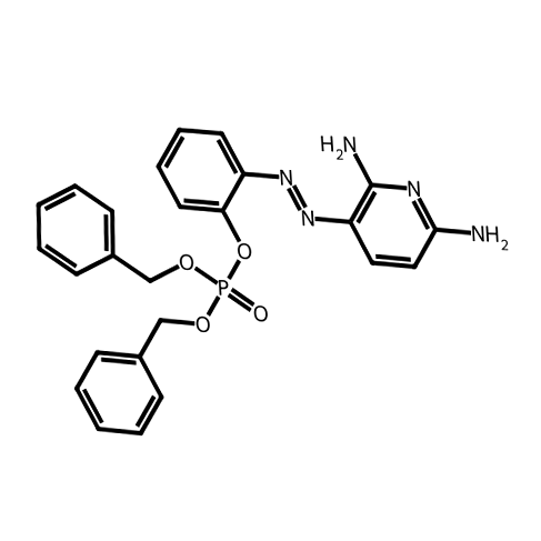 Nc1ccc(/N=N/c2ccccc2OP(=O)(OCc2ccccc2)OCc2ccccc2)c(N)n1